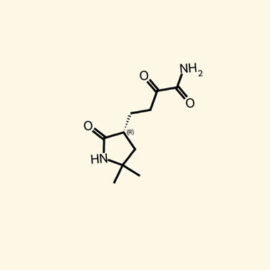 CC1(C)C[C@@H](CCC(=O)C(N)=O)C(=O)N1